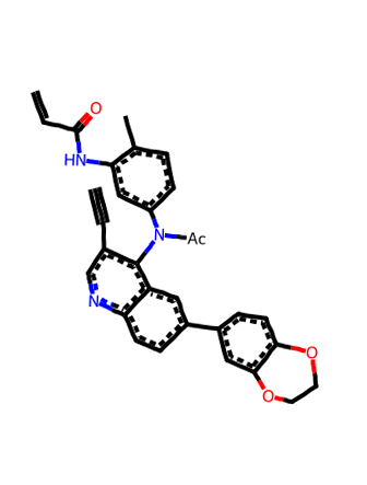 C#Cc1cnc2ccc(-c3ccc4c(c3)OCCO4)cc2c1N(C(C)=O)c1ccc(C)c(NC(=O)C=C)c1